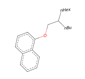 CCCCCCC(CCCC)COc1cccc2ccccc12